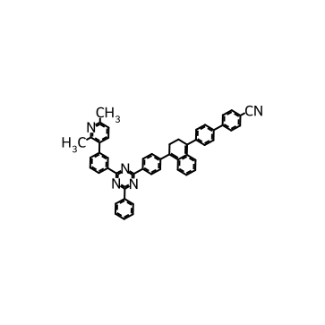 Cc1ccc(-c2cccc(-c3nc(-c4ccccc4)nc(-c4ccc(C5=c6ccccc6=C(c6ccc(-c7ccc(C#N)cc7)cc6)CC5)cc4)n3)c2)c(C)n1